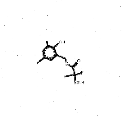 O=C(OCc1cc(I)cc(I)c1O)C(F)(F)S(=O)(=O)O